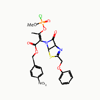 COP(=O)(Cl)OC(C)=C(C(=O)OCc1ccc([N+](=O)[O-])cc1)N1C(=O)C2N=C(COc3ccccc3)SC21